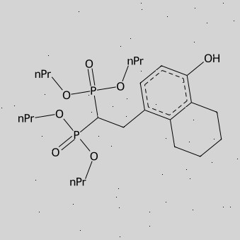 CCCOP(=O)(OCCC)C(Cc1ccc(O)c2c1CCCC2)P(=O)(OCCC)OCCC